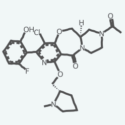 CC(=O)N1CCN2C(=O)c3c(OC[C@@H]4CCCN4C)nc(-c4c(O)cccc4F)c(Cl)c3OC[C@H]2C1